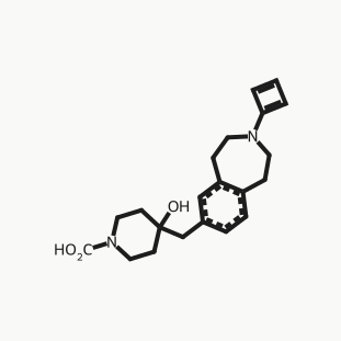 O=C(O)N1CCC(O)(Cc2ccc3c(c2)CCN(C2=CC=C2)CC3)CC1